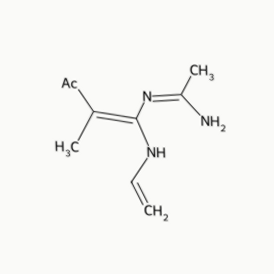 C=CNC(/N=C(/C)N)=C(\C)C(C)=O